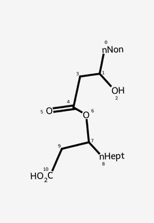 CCCCCCCCCC(O)CC(=O)OC(CCCCCCC)CC(=O)O